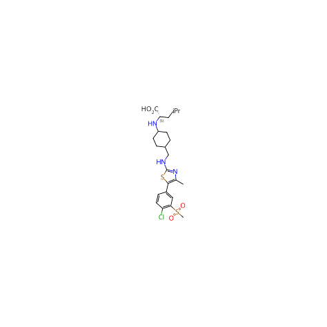 Cc1nc(NCC2CCC(N[C@@H](CC(C)C)C(=O)O)CC2)sc1-c1ccc(Cl)c(S(C)(=O)=O)c1